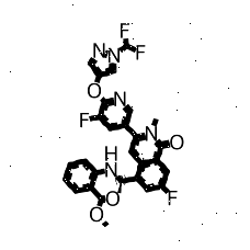 COC(=O)c1ccccc1N[C@H](C)c1cc(F)cc2c(=O)n(C)c(-c3cnc(Oc4cnn(C(F)F)c4)c(F)c3)cc12